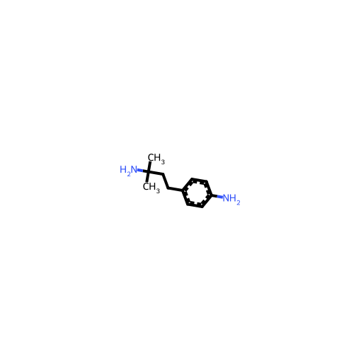 CC(C)(N)CCc1ccc(N)cc1